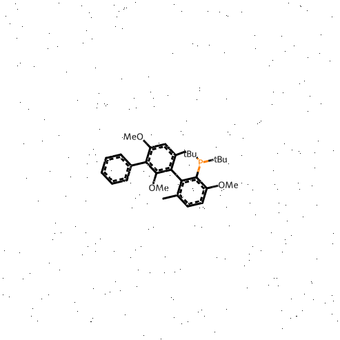 COc1cc(C)c(-c2c(C)ccc(OC)c2P(C(C)(C)C)C(C)(C)C)c(OC)c1-c1ccccc1